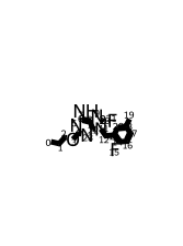 CCCOc1nc(N)c2ncn(Cc3c(F)ccc(C)c3F)c2n1